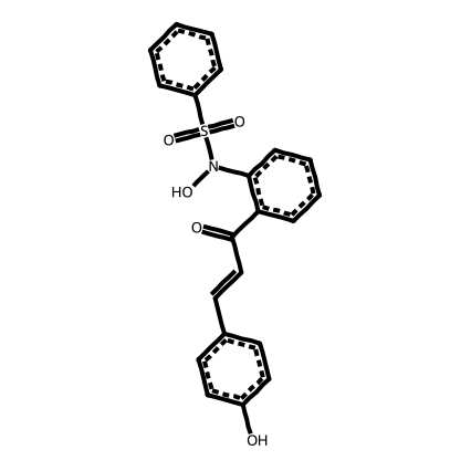 O=C(/C=C/c1ccc(O)cc1)c1ccccc1N(O)S(=O)(=O)c1ccccc1